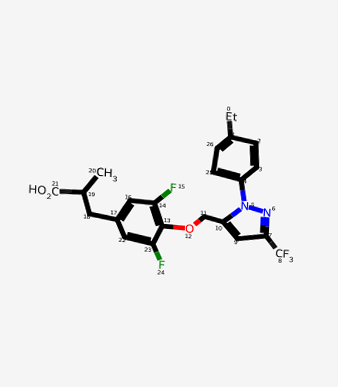 CCc1ccc(-n2nc(C(F)(F)F)cc2COc2c(F)cc(CC(C)C(=O)O)cc2F)cc1